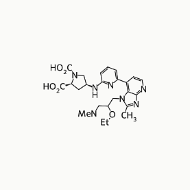 CCOC(CNC)Cn1c(C)nc2nccc(-c3cccc(N[C@H]4C[C@@H](C(=O)O)N(C(=O)O)C4)n3)c21